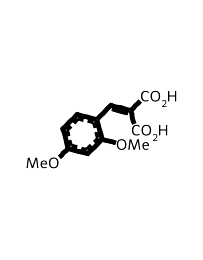 COc1ccc(C=C(C(=O)O)C(=O)O)c(OC)c1